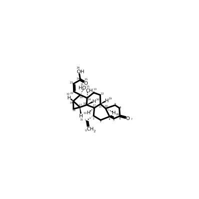 C=C[C@H]1CC2=CC(=O)CC[C@@H]2[C@H]2CC[C@@]3(C)[C@@H]([C@@H]4C[C@@H]4[C@@]3(O)/C=C\C(=O)O)[C@@H]21